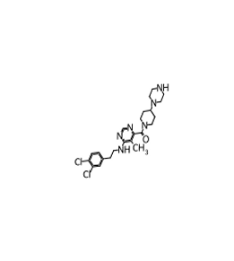 Cc1c(NCCc2ccc(Cl)c(Cl)c2)ncnc1C(=O)N1CCC(N2CCNCC2)CC1